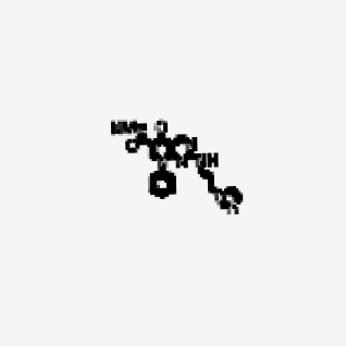 CNC(=O)c1cn(-c2ccccc2)c2nc(NCCCn3ccnc3)ncc2c1=O